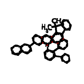 CC1(C)c2ccccc2-c2ccc(N(c3cccc(-c4ccc5ccccc5c4)c3)c3cccc(-c4ccccc4)c3-c3ccccc3-c3ccccc3)cc21